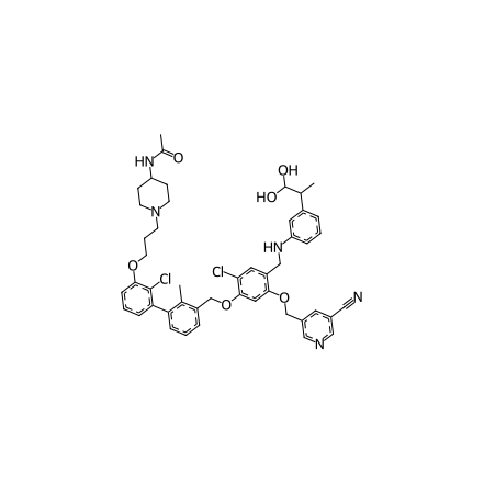 CC(=O)NC1CCN(CCCOc2cccc(-c3cccc(COc4cc(OCc5cncc(C#N)c5)c(CNc5cccc(C(C)C(O)O)c5)cc4Cl)c3C)c2Cl)CC1